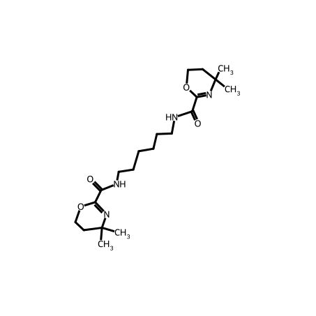 CC1(C)CCOC(C(=O)NCCCCCCNC(=O)C2=NC(C)(C)CCO2)=N1